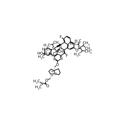 CC(C)[Si](C#Cc1c(F)ccc2cc(O[Si](C(C)C)(C(C)C)C(C)C)cc(-c3ncc4c(N5CCC[C@@](C)(O)C5)nc(OC[C@]56CCCN5[C@H](COC(=O)N(C)C)CC6)nc4c3F)c12)(C(C)C)C(C)C